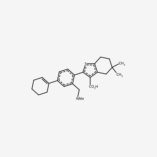 CNCc1cc(C2=CCCCC2)ccc1-c1sc2c(c1C(=O)O)CC(C)(C)CC2